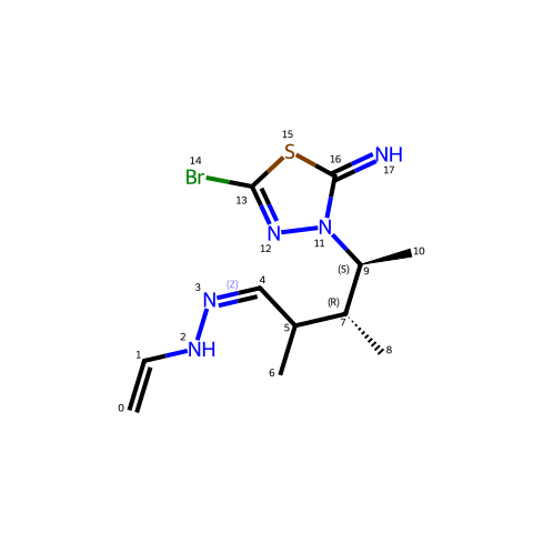 C=CN/N=C\C(C)[C@@H](C)[C@H](C)n1nc(Br)sc1=N